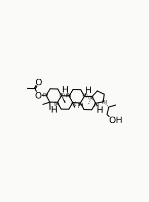 CC(=O)O[C@H]1CC[C@]2(C)[C@H]3CC[C@@H]4[C@@]5(C)CC[C@H](C(C)CO)[C@@H]5CC[C@@]4(C)[C@]3(C)CC[C@H]2C1(C)C